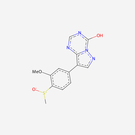 COc1cc(-c2cnn3c(O)ncnc23)ccc1[S+](C)[O-]